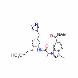 CNC(=O)c1ccc2c(C)cn(C(C)C(=O)Nc3cc(Cc4cnn(C)c4)ccc3CCCC(=O)O)c2c1